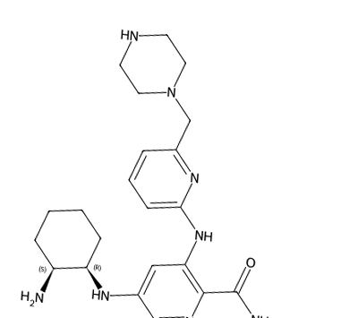 NC(=O)c1ncc(N[C@@H]2CCCC[C@@H]2N)cc1Nc1cccc(CN2CCNCC2)n1